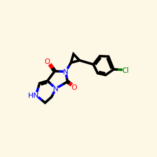 O=C1C2=CNCCN2C(=O)N1C1CC1c1ccc(Cl)cc1